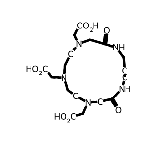 O=C(O)CN1CCN(CC(=O)O)CC(=O)NCCCNC(=O)CN(CC(=O)O)CC1